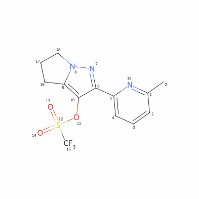 Cc1cccc(-c2nn3c(c2OS(=O)(=O)C(F)(F)F)CCC3)n1